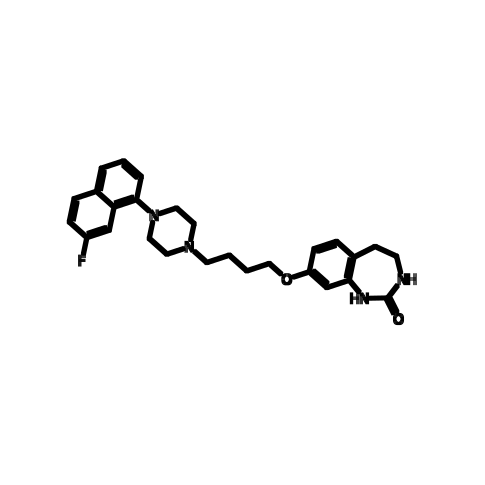 O=C1NCCc2ccc(OCCCCN3CCN(c4cccc5ccc(F)cc45)CC3)cc2N1